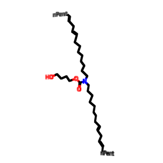 CCCCCC=CCC=CCCCCCCCCN(CCCCCCCCC=CCC=CCCCCC)C(=O)OCCCCO